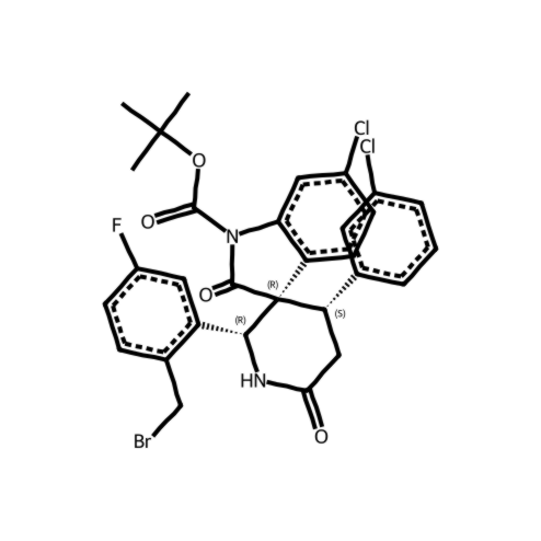 CC(C)(C)OC(=O)N1C(=O)[C@]2(c3ccc(Cl)cc31)[C@@H](c1cc(F)ccc1CBr)NC(=O)C[C@H]2c1cccc(Cl)c1